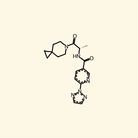 C[C@H](NC(=O)c1ccc(-n2nccn2)nc1)C(=O)N1CCC2(CC1)CC2